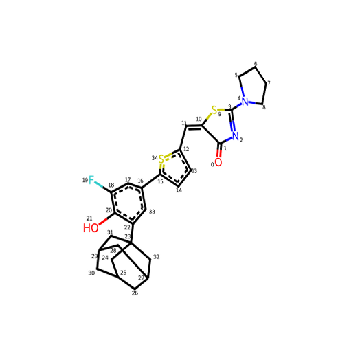 O=C1N=C(N2CCCC2)SC1=Cc1ccc(-c2cc(F)c(O)c(C34CC5CC(CC(C5)C3)C4)c2)s1